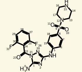 Nc1nc(Nc2ccc(S(=O)(=O)N3CCNCC3)cc2)nn1C(=O)c1c(F)cccc1F